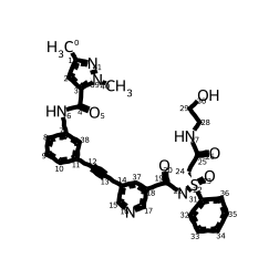 Cc1cc(C(=O)Nc2cccc(C#Cc3cncc(C(=O)N=[S@](=O)(CC(=O)NCCO)c4ccccc4)c3)c2)n(C)n1